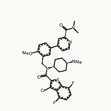 CN[C@H]1CC[C@@H](N(Cc2cc(-c3ccnc(C(=O)N(C)C)c3)ccc2OC)C(=O)c2sc3c(F)ccc(F)c3c2Cl)CC1